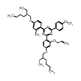 C=CCOc1cc(OCC(CC)CCCC)ccc1-c1nc(-c2ccc(OC)cc2)nc(-c2ccc(OCC(CC)CCCC)cc2C)n1